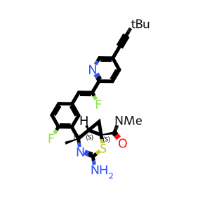 CNC(=O)[C@]12C[C@H]1[C@@](C)(c1cc(C=C(F)c3ccc(C#CC(C)(C)C)cn3)ccc1F)N=C(N)S2